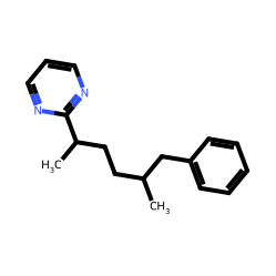 CC(CCC(C)c1ncccn1)Cc1ccccc1